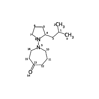 CC(C)CC1CCCN1N1CCCC(=O)CC1